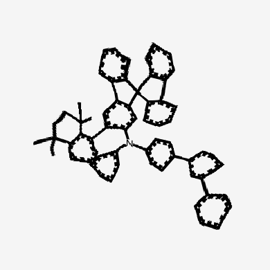 CC1(C)CCC(C)(C)c2c(-c3cc4c(cc3N(c3ccccc3)c3ccc(-c5cccc(-c6ccccc6)c5)cc3)C3(c5ccccc5-c5ccccc53)c3ccccc3-4)cccc21